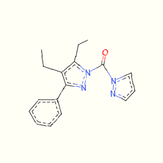 CCc1c(-c2ccccc2)nn(C(=O)n2cccn2)c1CC